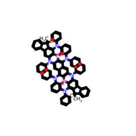 CC1(C)c2ccccc2-c2cc3c4c(c21)N(c1ccccc1)c1cccc2c1P4(=O)c1c(cc4c5c6c(cc4c1N2c1ccccc1)N(c1ccccc1)c1cc2c(c4c1P6(=O)c1c(cccc1N5c1ccccc1)N4c1ccccc1)C(C)(C)c1ccccc1-2)N3c1ccccc1